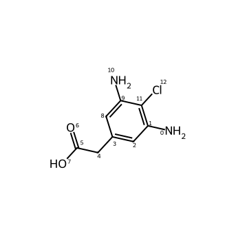 Nc1cc(CC(=O)O)cc(N)c1Cl